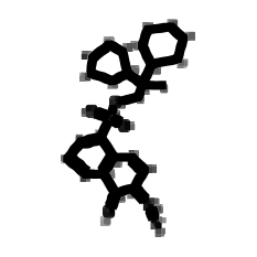 CC(COS(=O)(=O)c1cccc2c1C=CC(=[N+]=[N-])C2=O)(C1CCCCC1)C1CCCCC1